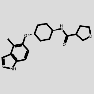 Cc1c(O[C@H]2CC[C@H](NC(=O)C3CCOC3)CC2)ccc2[nH]ncc12